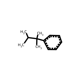 CC(C)C(C)(C)c1[c]cccc1